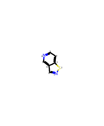 [c]1nsc2ccncc12